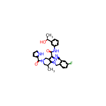 CC1CN(C(=O)c2ccc[nH]2)Cc2c(C(=O)Nc3cccc([C@H](C)O)c3)nn(Cc3ccc(F)cc3C#N)c21